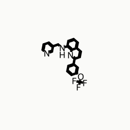 FC(F)(F)Oc1cccc(-c2ccc3cccc(NCc4cccnc4)c3n2)c1